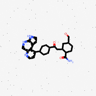 NC(=O)C1CCC(C[O])CC1CC(=O)C1CCC(c2ccnc3cnc4[nH]ccc4c23)CC1